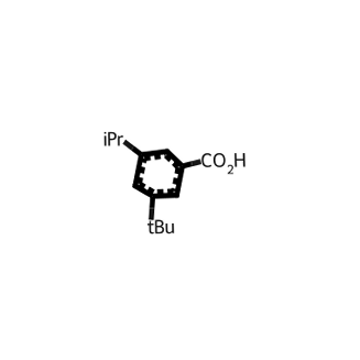 CC(C)c1cc(C(=O)O)cc(C(C)(C)C)c1